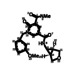 CNC(=O)c1cc(C(=O)NC2[C@H]3COC[C@@H]23)cn(Cc2cccc(OC)c2)c1=O